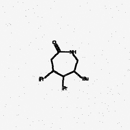 CCC(C)C1CNC(=O)CC(C(C)C)C1C(C)C